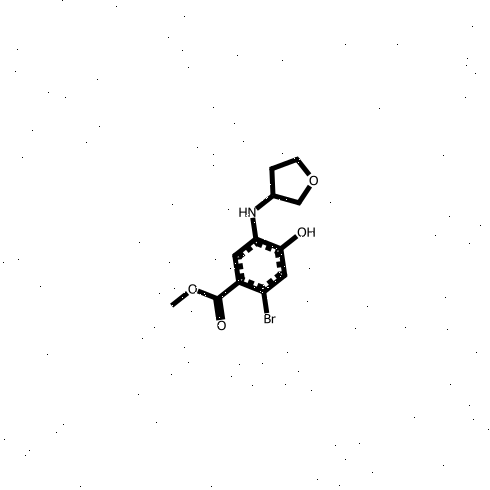 COC(=O)c1cc(NC2CCOC2)c(O)cc1Br